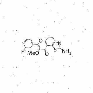 COc1c(-c2cccc(F)c2)oc2ccc3nc(N)sc3c2c1=O